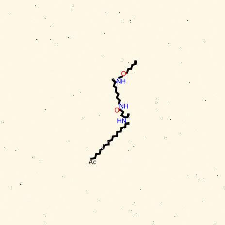 C=CCCCCOCCNC(=C)CCCCCCCNC(=O)CCC(C=C)NC(=C)CCCCCCCCCCCCCCCCC(C)=O